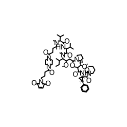 CCC(C)C(C(CC(=O)N1CCC[C@H]1C(OC)C(C)C(=O)N[C@@]1(C(=O)N2CCCCO2)C[C@@H]1c1ccccc1)OC)N(C)C(=O)C(NC(=O)C(C(C)C)N(C)CCCC(=O)N1CCN(C(=O)CCCN2C(=O)C=CC2=O)CC1)C(C)C